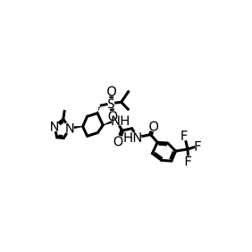 Cc1nccn1[C@@H]1CC[C@H](NC(=O)CNC(=O)c2cccc(C(F)(F)F)c2)[C@@H](CS(=O)(=O)C(C)C)C1